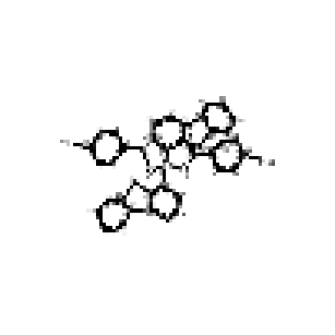 O=C([O][Ti]([O]C(=O)c1ccc(F)cc1)([c]1cccc2c1Cc1ccccc1-2)[c]1cccc2c1Cc1ccccc1-2)c1ccc(F)cc1